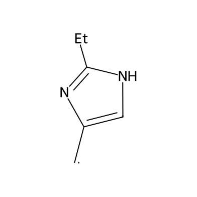 [CH2]c1c[nH]c(CC)n1